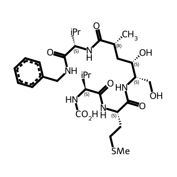 CSCC[C@H](NC(=O)[C@@H](NC(=O)O)C(C)C)C(=O)N[C@@H](CO)[C@@H](O)C[C@@H](C)C(=O)N[C@H](C(=O)NCc1ccccc1)C(C)C